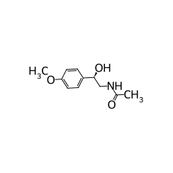 COc1ccc([C@@H](O)CNC(C)=O)cc1